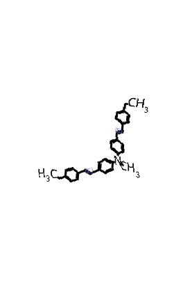 CCc1ccc(/C=C/c2ccc(N(C)c3ccc(/C=C/c4ccc(CC)cc4)cc3)cc2)cc1